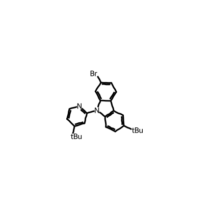 CC(C)(C)c1ccnc(-n2c3ccc(C(C)(C)C)cc3c3ccc(Br)cc32)c1